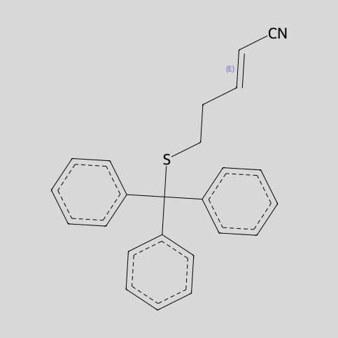 N#C/C=C/CCSC(c1ccccc1)(c1ccccc1)c1ccccc1